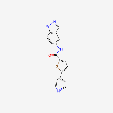 O=C(Nc1ccc2[nH]ncc2c1)c1ccc(-c2ccncc2)s1